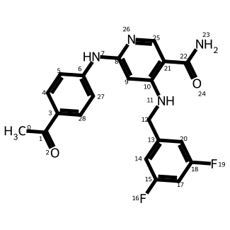 CC(=O)c1ccc(Nc2cc(NCc3cc(F)cc(F)c3)c(C(N)=O)cn2)cc1